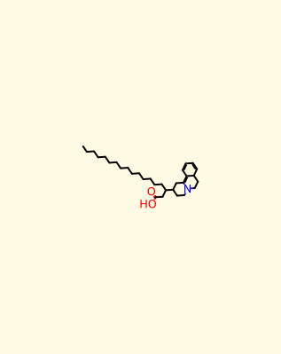 CCCCCCCCCCCCCCCC(CC(=O)O)C1CCN2CCC3C=CC=CC3=C2C1